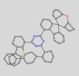 c1ccc(-c2ccc(-c3ccccc3-c3nc(-c4cccc5c4-c4ccccc4C54c5ccccc5Oc5ccccc54)nc(-c4cccc5c4sc4ccccc45)n3)cc2)cc1